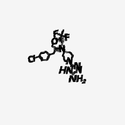 CC(F)(F)[C@H]1CN(C2CCN(c3nnc(N)[nH]3)CC2)[C@@H](Cc2ccc(Cl)cc2)CO1